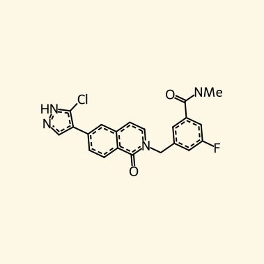 CNC(=O)c1cc(F)cc(Cn2ccc3cc(-c4cn[nH]c4Cl)ccc3c2=O)c1